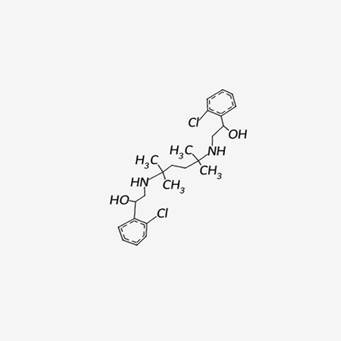 CC(C)(CCC(C)(C)NCC(O)c1ccccc1Cl)NCC(O)c1ccccc1Cl